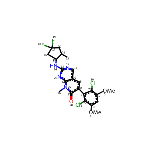 COc1cc(OC)c(Cl)c(-c2cc3cnc(NC4CC(F)(F)CC4C)nc3n(C)c2=O)c1Cl